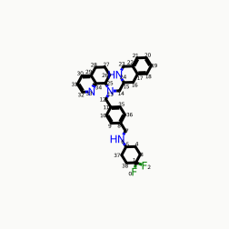 FC1(F)CCC(NCc2ccc(CN(CC3Cc4ccccc4CN3)C3CCCc4cccnc43)cc2)CC1